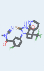 CN(C#N)C(=O)c1cc(N2C(=S)NC(=O)C23CCC3(c2cccnc2)C(F)(F)F)ccc1F